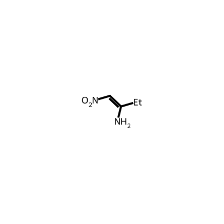 CCC(N)=C[N+](=O)[O-]